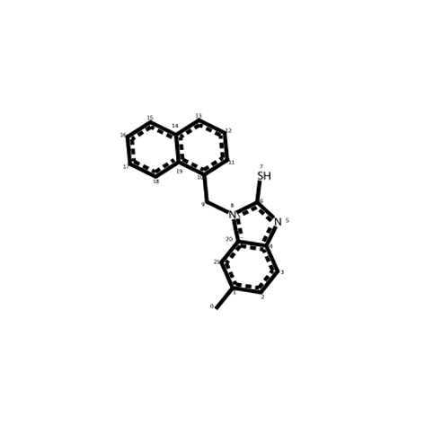 Cc1ccc2nc(S)n(Cc3cccc4ccccc34)c2c1